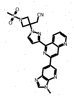 Cn1cnc2cc(-c3cc4ncccc4c(-c4ccn(C5(CC#N)CN(S(C)(=O)=O)C5)n4)n3)cnc21